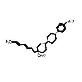 CCCCc1ccc([C@H]2CC[C@H]([C@H]3CC[C@](C=O)(CCC=CC=CC#N)CC3)CC2)cc1